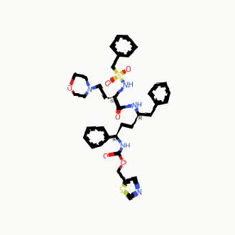 O=C(N[C@H](CC[C@H](Cc1ccccc1)NC(=O)[C@H](CCN1CCOCC1)NS(=O)(=O)Cc1ccccc1)c1ccccc1)OCc1cncs1